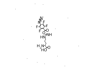 [N-]=[N+]=Nc1c(F)c(F)c(C(=O)OC(=N)NCCCC(N)C(=O)O)c(F)c1F